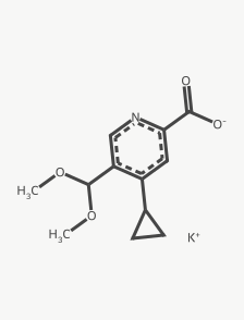 COC(OC)c1cnc(C(=O)[O-])cc1C1CC1.[K+]